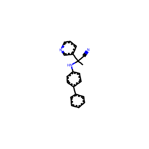 CC(C#N)(Nc1ccc(-c2ccccc2)cc1)c1cccnc1